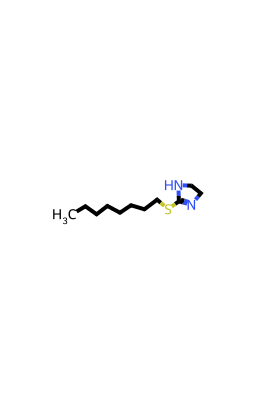 CCCCCCCCSC1=NCCN1